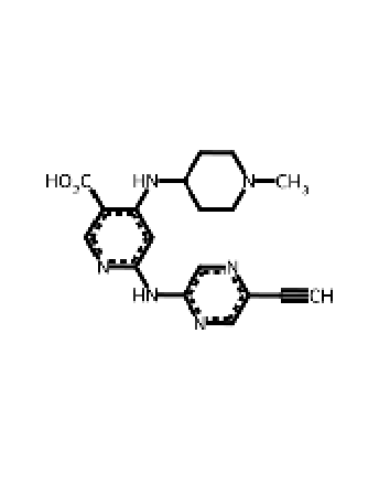 C#Cc1cnc(Nc2cc(NC3CCN(C)CC3)c(C(=O)O)cn2)cn1